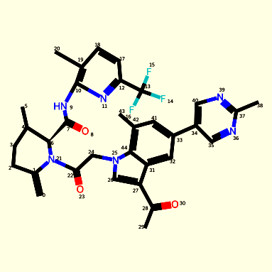 C=C1CCC(C)[C@@H](C(=O)Nc2nc(C(F)(F)F)ccc2C)N1C(=O)Cn1cc(C(C)=O)c2cc(-c3cnc(C)nc3)cc(C)c21